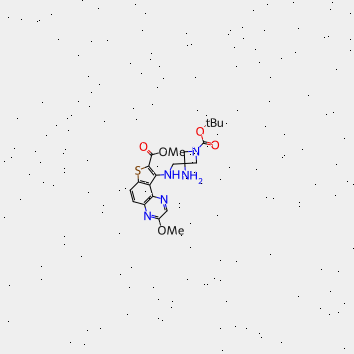 COC(=O)c1sc2ccc3nc(OC)cnc3c2c1NCC1(N)CN(C(=O)OC(C)(C)C)C1